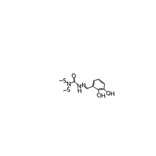 CSN(SC)C(=O)N/N=C/c1cccc(O)c1O